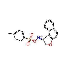 CC1=CC=C(S(=O)(=O)O/N=C2\COc3ccc4ccccc4c32)CC1